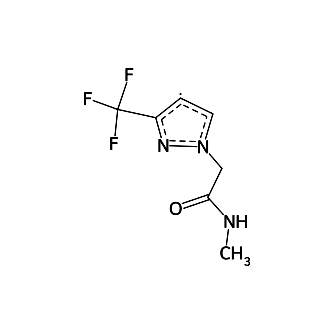 CNC(=O)Cn1c[c]c(C(F)(F)F)n1